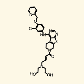 O=C(/C=C/CN(CCO)CCO)N1CCc2c(sc3ncnc(Nc4ccc(OCc5ccccn5)c(Cl)c4)c23)C1